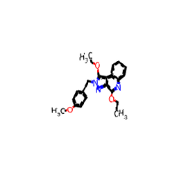 CCOc1nc2ccccc2c2c(OCC)n(Cc3ccc(OC)cc3)nc12